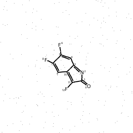 O=C1N=c2cc(F)c(F)cc2=C1F